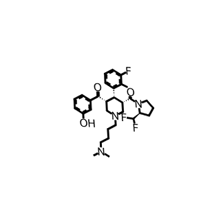 Cc1c(F)cccc1[C@H]1[C@@H](C(=O)c2cccc(O)c2)CN(CCCCN(C)C)C[C@H]1C(=O)N1CCC[C@H]1C(F)F